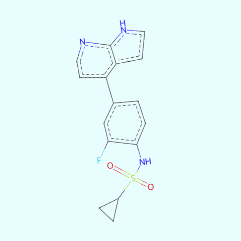 O=S(=O)(Nc1ccc(-c2ccnc3[nH]ccc23)cc1F)C1CC1